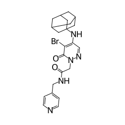 O=C(Cn1ncc(NC23CC4CC(CC(C4)C2)C3)c(Br)c1=O)NCc1ccncc1